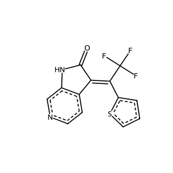 O=C1Nc2cnccc2C1=C(c1cccs1)C(F)(F)F